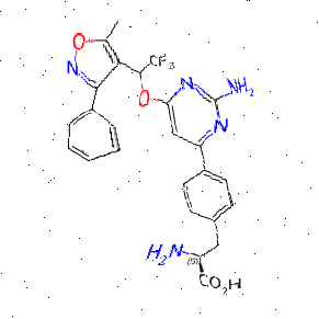 Cc1onc(-c2ccccc2)c1C(Oc1cc(-c2ccc(C[C@H](N)C(=O)O)cc2)nc(N)n1)C(F)(F)F